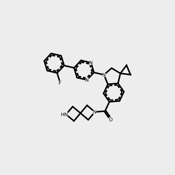 O=C(c1ccc2c(c1)N(c1ncc(-c3ccccc3F)cn1)CC21CC1)N1CC2(CNC2)C1